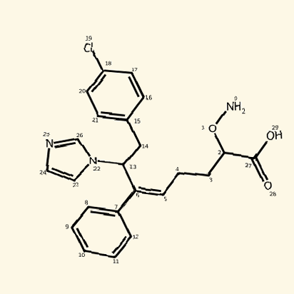 NOC(CC/C=C(/c1ccccc1)C(Cc1ccc(Cl)cc1)n1ccnc1)C(=O)O